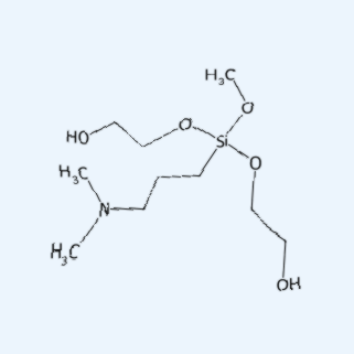 CO[Si](CCCN(C)C)(OCCO)OCCO